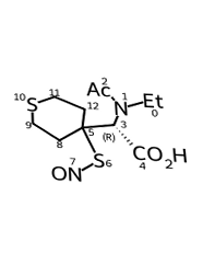 CCN(C(C)=O)[C@H](C(=O)O)C1(SN=O)CCSCC1